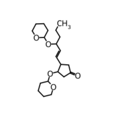 CCCC(/C=C/C1CC(=O)CC1OC1CCCCO1)OC1CCCCO1